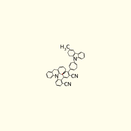 CC1=Cc2c(n(C3=CCC=C(c4ccc(-c5c(C#N)cccc5N5C6=C(C=CCC=C6)Cc6ccccc65)cc4C#N)C=C3)c3ccccc23)CC1